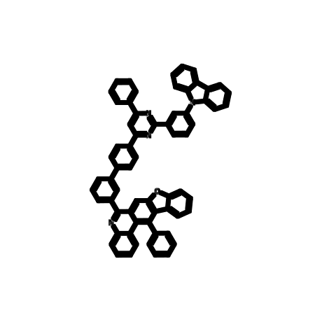 c1ccc(-c2cc(-c3ccc(-c4cccc(-c5nc6ccccc6c6c(-c7ccccc7)c7c(cc56)oc5ccccc57)c4)cc3)nc(-c3cccc(-n4c5ccccc5c5ccccc54)c3)n2)cc1